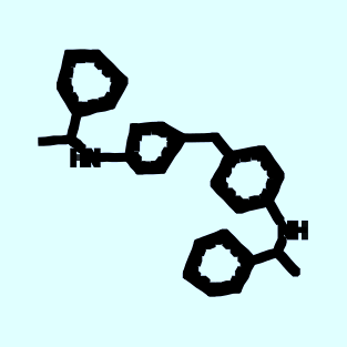 CC(Nc1ccc(Cc2ccc(NC(C)c3ccccc3)cc2)cc1)c1ccccc1